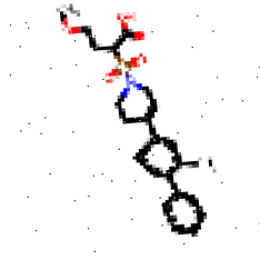 COCCC(C(=O)O)S(=O)(=O)N1CC=C(c2ccc(-c3ccccc3)c(C)c2)CC1